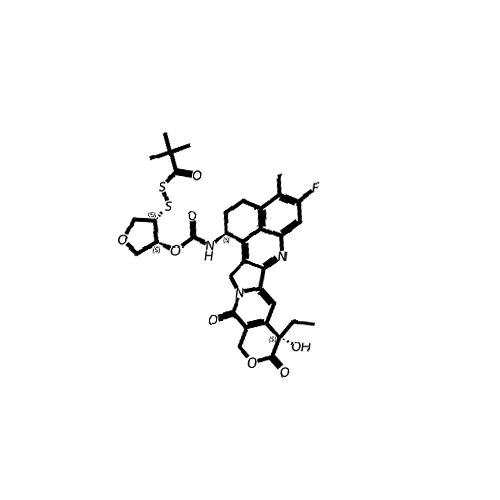 CC[C@@]1(O)C(=O)OCc2c1cc1n(c2=O)Cc2c-1nc1cc(F)c(C)c3c1c2[C@@H](NC(=O)O[C@H]1COC[C@@H]1SSC(=O)C(C)(C)C)CC3